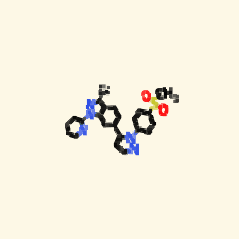 CCc1nn(-c2ccccn2)c2cc(-c3ccnn3-c3ccc(S(C)(=O)=O)cc3)ccc12